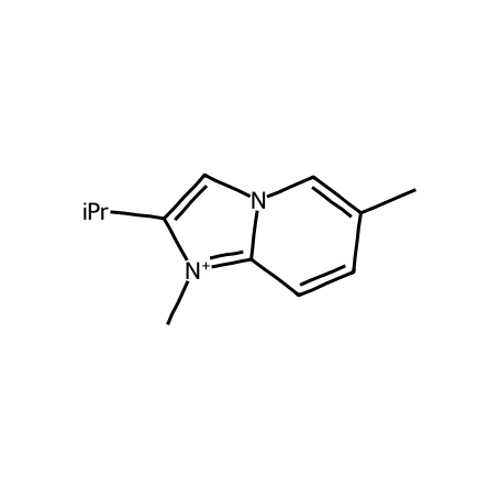 Cc1ccc2n(c1)cc(C(C)C)[n+]2C